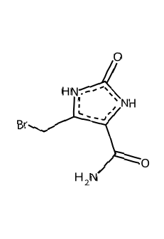 NC(=O)c1[nH]c(=O)[nH]c1CBr